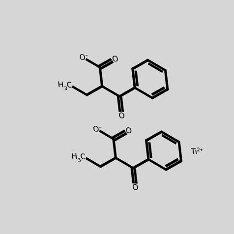 CCC(C(=O)[O-])C(=O)c1ccccc1.CCC(C(=O)[O-])C(=O)c1ccccc1.[Ti+2]